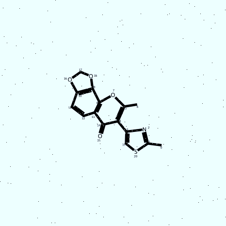 Cc1nc(-c2c(C)oc3c4c(ccc3c2=O)OCO4)cs1